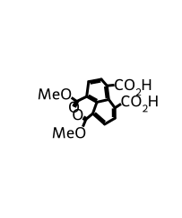 COC(=O)c1ccc(C(=O)O)c2c(C(=O)O)ccc(C(=O)OC)c12